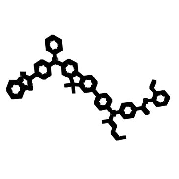 C=Cc1ccccc1SC(=C)c1ccc(N(/C(C)=C/C=C\C)c2ccc(-c3ccc4c(c3)C(C)(C)c3cc(N(c5ccccc5)c5ccc(-c6nc7ccccc7s6)cc5)ccc3-4)cc2)cc1